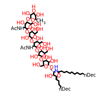 CCCCCCCCCCCCC/C=C/[C@@H](O)[C@H](CO[C@@H]1OC(CO)[C@@H](O[C@@H]2OC(CO)[C@H](O)[C@H](O[C@@H]3OC(CO)[C@@H](O)[C@H](O[C@@H]4OC(CO)[C@H](O)[C@H](O[C@@H]5OC(CO)[C@@H](O[C@H]6OC(C)[C@@H](O)C(O)[C@@H]6O)[C@H](O)C5NC(C)=O)C4O)C3NC(C)=O)C2O)[C@H](O)C1O)NC(=O)CCCCCCCCCCCCCCCCCCC